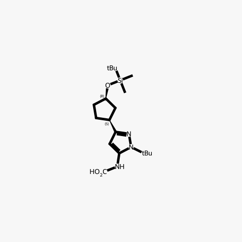 CC(C)(C)n1nc([C@H]2CC[C@@H](O[Si](C)(C)C(C)(C)C)C2)cc1NC(=O)O